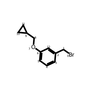 BrCc1cccc(OCC2CC2)c1